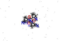 C=NCC1(C)CC(C2C(=O)N(C3CC(C)(C)CC(C)(CN)C3)C(=O)N(C3CC(C)(C)CC(C)(CN=C)C3)C2=O)CC(C)(C)C1